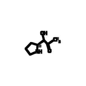 O=C(C(O)[C@@H]1CCCN1)C(F)(F)F